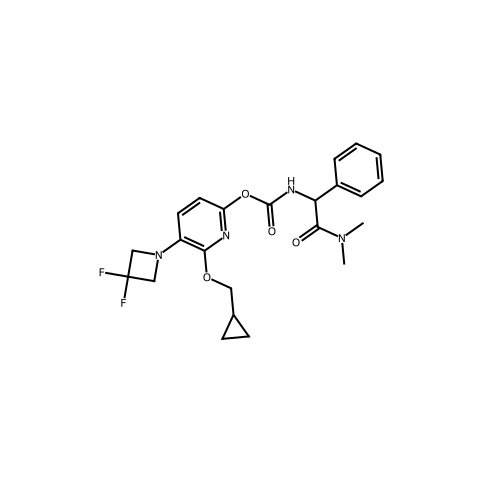 CN(C)C(=O)C(NC(=O)Oc1ccc(N2CC(F)(F)C2)c(OCC2CC2)n1)c1ccccc1